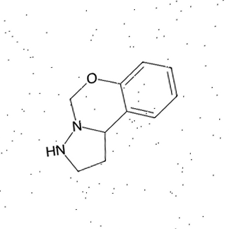 c1ccc2c(c1)OCN1NCCC21